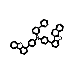 c1ccc(-c2cccc(N(c3ccc(-c4cccc5c4sc4ccccc45)cc3)c3ccc(-c4cccc5oc6c7ccccc7ccc6c45)cc3)c2)cc1